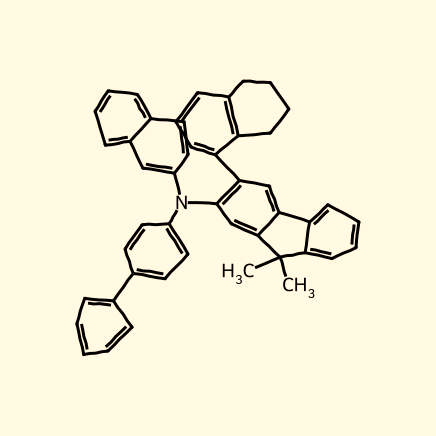 CC1(C)c2ccccc2-c2cc(-c3cccc4c3CCCC4)c(N(c3ccc(-c4ccccc4)cc3)c3ccc4ccccc4c3)cc21